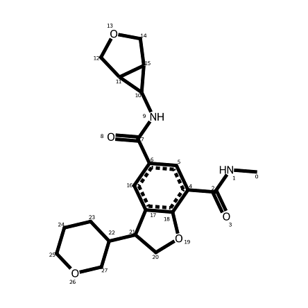 CNC(=O)c1cc(C(=O)NC2C3COCC32)cc2c1OCC2C1CCCOC1